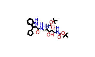 CC(C)(C)OC(=O)NCCC(O)[C@H](CNC(=O)c1[nH]c2ccccc2c1C1CCCC1)NC(=O)OC(C)(C)C